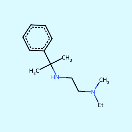 CCN(C)CCNC(C)(C)c1ccccc1